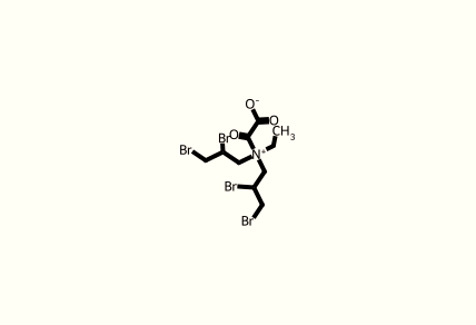 CC[N+](CC(Br)CBr)(CC(Br)CBr)C(=O)C(=O)[O-]